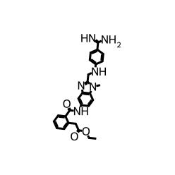 CCOC(=O)Cc1ccccc1C(=O)Nc1ccc2c(c1)nc(CNc1ccc(C(=N)N)cc1)n2C